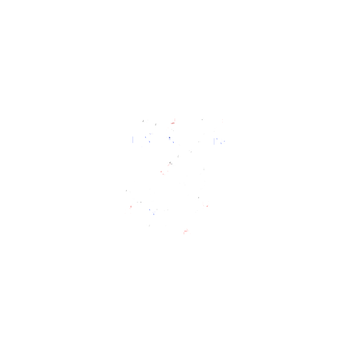 CNC(=O)C(C)(C)C[C@@H]1C[C@H](c2ccc(OC)cc2)[C@@H](OCc2ccc3c(c2)N(CCCOC)CCO3)CN1C(=O)C(C)N